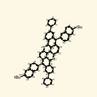 CC(C)(C)c1ccc2cc(-c3c4cc(-c5ccccc5)ccc4c4nc5ccc6c(-c7ccc8cc(C(C)(C)C)ccc8c7)c7cc(-c8ccccc8)ccc7c7nc8ccc3c4c8c5c67)ccc2c1